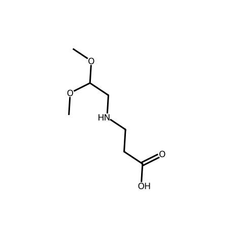 COC(CNCCC(=O)O)OC